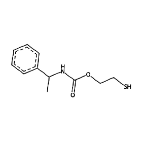 CC(NC(=O)OCCS)c1ccccc1